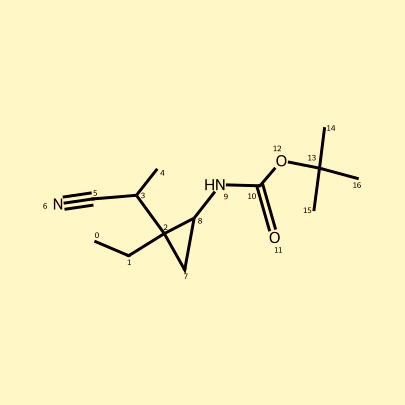 CCC1(C(C)C#N)CC1NC(=O)OC(C)(C)C